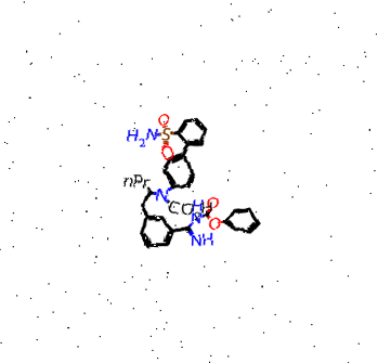 CCCC(Cc1cccc(C(=N)NC(=O)Oc2ccccc2)c1)N(C(=O)O)c1ccc(-c2ccccc2S(N)(=O)=O)cc1